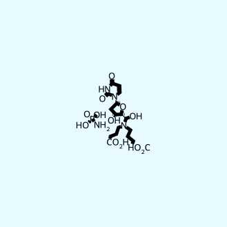 NP(=O)(O)O.O=C(O)CCCN(CCCC(=O)O)C(O)[C@H]1O[C@@H](n2ccc(=O)[nH]c2=O)C[C@@H]1O